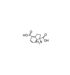 NC1(C(=O)O)CCc2c(C(=O)O)cccc21